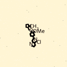 COc1cc(-c2cc3ncccc3c(Cl)n2)ccc1OCC1CCCN1C